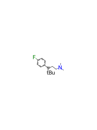 CN(C)CC[C@H](c1ccc(F)cc1)C(C)(C)C